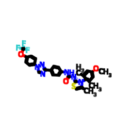 COc1cc(C)c(-n2c(C)cs/c2=N\C(=O)Nc2ccc(-c3ncn(-c4ccc(OC(F)(F)F)cc4)n3)cc2)c(C)c1